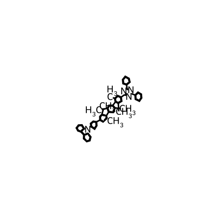 Cc1cc(-c2ccc(-n3c4ccccc4c4ccccc43)cc2)cc2c1-c1cc3c(cc1C2(C)C)-c1c(C)cc(-c2nc(-c4ccccc4)nc(-c4ccccc4)n2)cc1C3(C)C